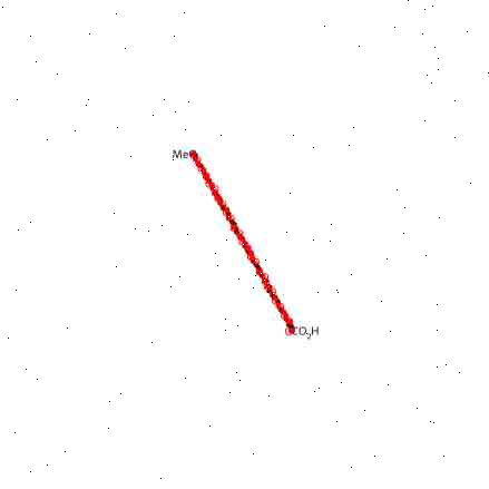 COCCOCCOCCOCCOCCOCCOCCOCCOCCOCCOCCOCCOCCOCCOCCOCCOCCOCCOCCOCCOCCOCCOCCOCCC(=O)C(=O)O